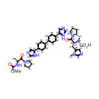 COC(=O)N[C@@H](C)C(=O)N1CCC[C@H]1c1ncc(-c2ccc(-c3ccc(-c4cnc([C@@H]5CCCN5C(=O)[C@H](Cc5cncn5C)N(C)C(=O)O)[nH]4)cc3)cc2)[nH]1